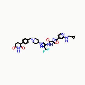 O=C1CCC(c2ccc(CN3CCC(n4cc(NC(=O)c5coc(-c6ccnc(NCC7CC7)c6)n5)c(C(F)F)n4)CC3)cc2)C(=O)N1